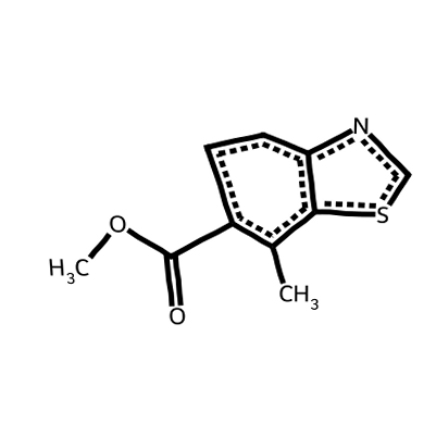 COC(=O)c1ccc2ncsc2c1C